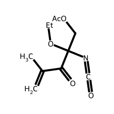 C=C(C)C(=O)C(COC(C)=O)(N=C=O)OCC